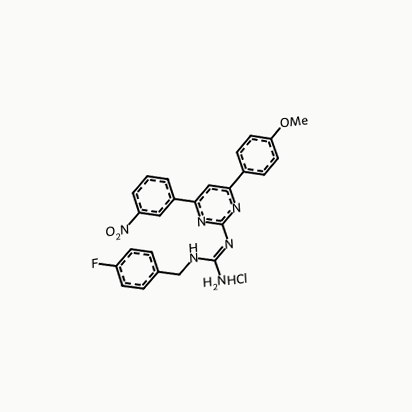 COc1ccc(-c2cc(-c3cccc([N+](=O)[O-])c3)nc(N=C(N)NCc3ccc(F)cc3)n2)cc1.Cl